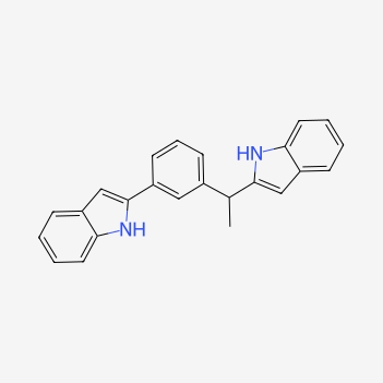 CC(c1cccc(-c2cc3ccccc3[nH]2)c1)c1cc2ccccc2[nH]1